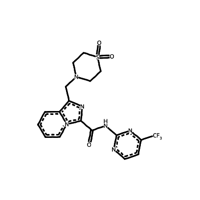 O=C(Nc1nccc(C(F)(F)F)n1)c1nc(CN2CCS(=O)(=O)CC2)c2ccccn12